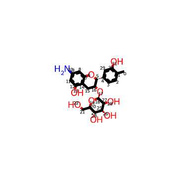 Cc1ccc([C@H]2Oc3cc(N)cc(O)c3CC2O[C@@H]2OC(CO)[C@@H](O)[C@H](O)C2O)cc1O